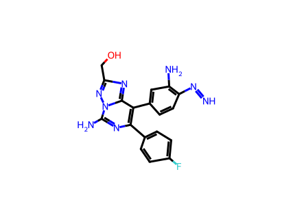 N=Nc1ccc(-c2c(-c3ccc(F)cc3)nc(N)n3nc(CO)nc23)cc1N